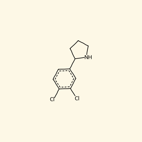 Clc1ccc(C2CCCN2)cc1Cl